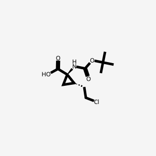 CC(C)(C)OC(=O)N[C@]1(C(=O)O)C[C@H]1CCCl